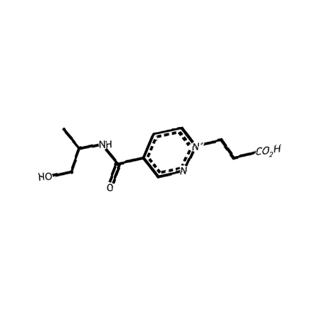 CC(CO)NC(=O)c1cc[n+](CCC(=O)O)nc1